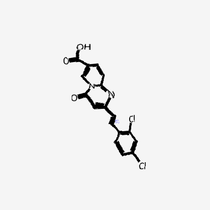 O=C(O)c1ccc2nc(/C=C/c3ccc(Cl)cc3Cl)cc(=O)n2c1